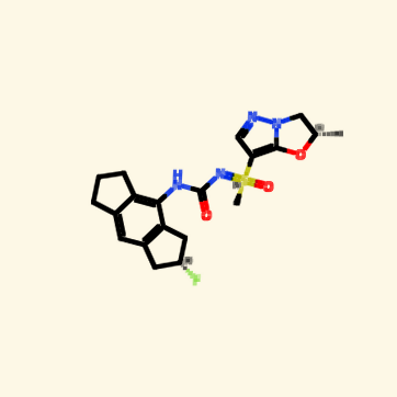 C[C@H]1Cn2ncc([S@](C)(=O)=NC(=O)Nc3c4c(cc5c3C[C@H](F)C5)CCC4)c2O1